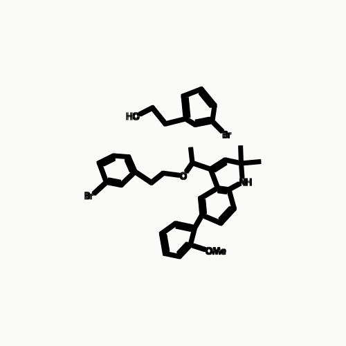 COc1ccccc1-c1ccc2c(c1)C(C(C)OCCc1cccc(Br)c1)=CC(C)(C)N2.OCCc1cccc(Br)c1